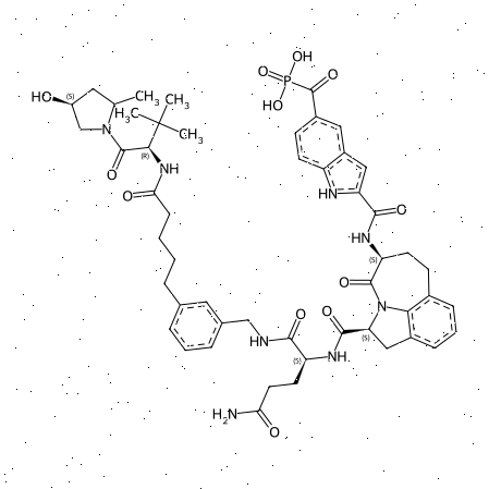 CC1C[C@H](O)CN1C(=O)[C@H](NC(=O)CCCCc1cccc(CNC(=O)[C@H](CCC(N)=O)NC(=O)[C@@H]2Cc3cccc4c3N2C(=O)[C@@H](NC(=O)c2cc3cc(C(=O)P(=O)(O)O)ccc3[nH]2)CC4)c1)C(C)(C)C